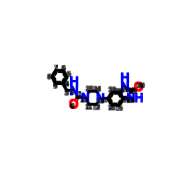 O=C(NCc1ccccc1)N1CCN(c2ccc3[nH]c(=O)[nH]c3c2)CC1